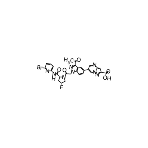 CC(=O)c1nn(CC(=O)N2C[C@H](F)C[C@H]2C(=O)Nc2cccc(Br)n2)c2ccc(-c3cnc4cc(C(=O)O)nn4c3)cc12